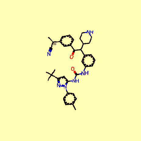 Cc1ccc(-n2nc(C(C)(C)C)cc2NC(=O)Nc2cccc(C(C(=O)c3cccc([C@H](C)C#N)c3)C3CCNCC3)c2)cc1